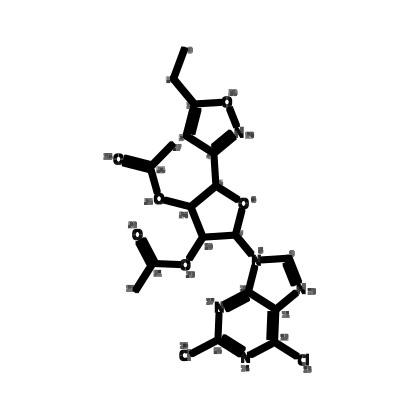 CCc1cc(C2OC(n3cnc4c(Cl)nc(Cl)nc43)C(OC(C)=O)C2OC(C)=O)no1